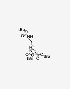 CC(C)(C)OC(=O)NCCCCC(CNC(=O)OC(C)(C)C)NC(=O)OC(C)(C)C